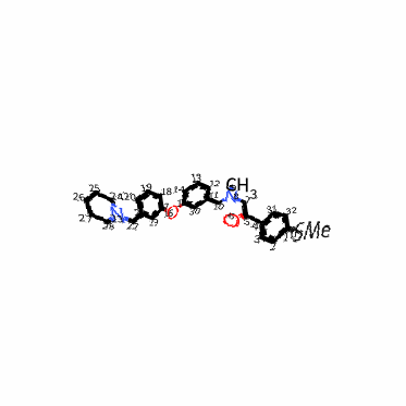 CSc1ccc(C(=O)CN(C)Cc2cccc(Oc3cccc(CN4CCCCC4)c3)c2)cc1